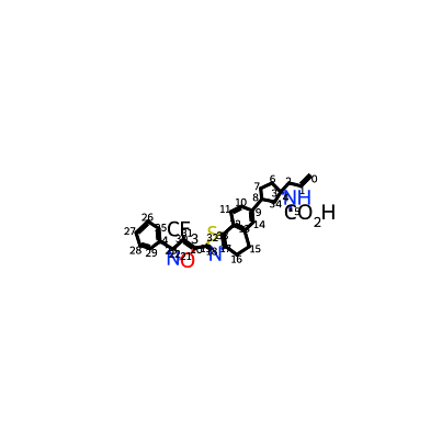 C=CCC1(NC(=O)O)CCC(c2ccc3c(c2)CCc2nc(-c4onc(-c5ccccc5)c4C(F)(F)F)sc2-3)C1